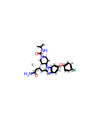 CC(C)NC(=O)N1CCC(n2c(CC[C@@H](C)C(N)=O)nc3ccc(Oc4ccc(F)cc4)cc32)CC1